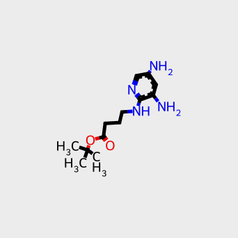 CC(C)(C)OC(=O)CCCNc1ncc(N)cc1N